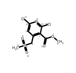 COC(=O)c1c(CS(C)(=O)=O)cc(Cl)nc1Cl